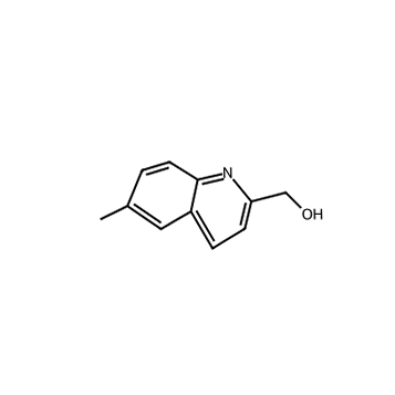 Cc1ccc2nc(CO)ccc2c1